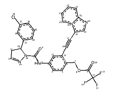 O=C(Nc1ccc(COC(=O)C(F)(F)F)c(C#Cc2cnc3cccnn23)c1)N1N=CCC1c1cccc(Cl)c1